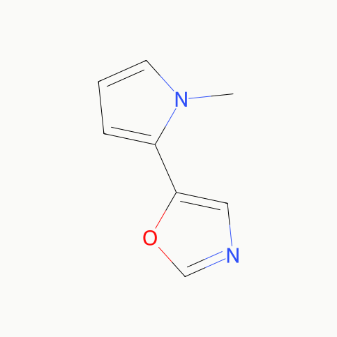 Cn1cccc1-c1cnco1